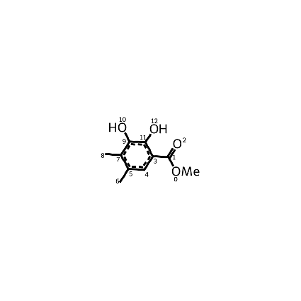 COC(=O)c1cc(C)c(C)c(O)c1O